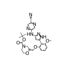 COc1cccc(OC[C@@H]2CN(C(=O)OC(C)(C)C)CCO2)c1-c1cc(Nc2cnc(C#N)cn2)n[nH]1